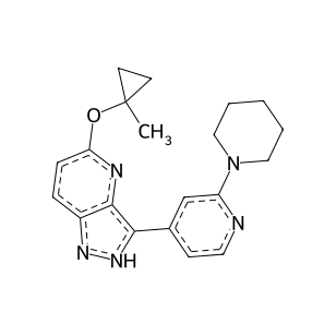 CC1(Oc2ccc3n[nH]c(-c4ccnc(N5CCCCC5)c4)c3n2)CC1